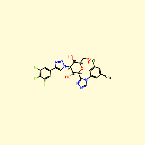 OC[C@H]1O[C@@H](c2nncn2-c2cc(Cl)cc(C(F)(F)F)c2)[C@H](O)[C@@H](n2cc(-c3cc(F)c(F)c(F)c3)nn2)[C@H]1O